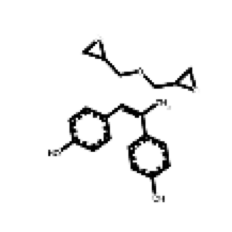 C(OCC1CO1)C1CO1.CC(=Cc1ccc(O)cc1)c1ccc(O)cc1